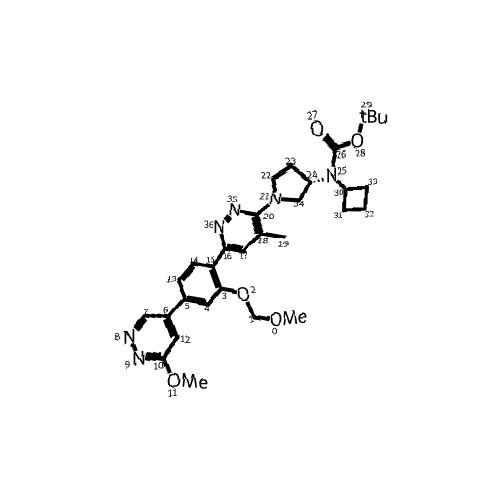 COCOc1cc(-c2cnnc(OC)c2)ccc1-c1cc(C)c(N2CC[C@H](N(C(=O)OC(C)(C)C)C3CCC3)C2)nn1